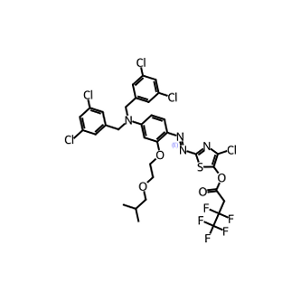 CC(C)COCCOc1cc(N(Cc2cc(Cl)cc(Cl)c2)Cc2cc(Cl)cc(Cl)c2)ccc1/N=N/c1nc(Cl)c(OC(=O)CC(F)(F)C(F)(F)F)s1